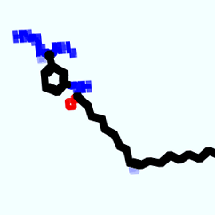 CCCCCCCC/C=C\CCCCCCCC(=O)Nc1cccc(/C(N)=N/N=N)c1